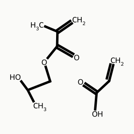 C=C(C)C(=O)OCC(C)O.C=CC(=O)O